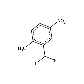 Cc1ccc([N+](=O)[O-])cc1C(F)F